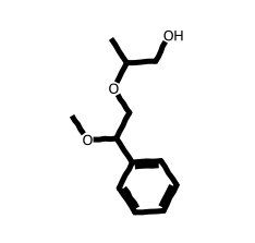 COC(COC(C)CO)c1ccccc1